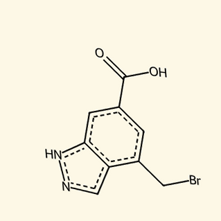 O=C(O)c1cc(CBr)c2cn[nH]c2c1